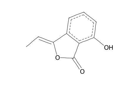 C/C=C1\OC(=O)c2c(O)cccc21